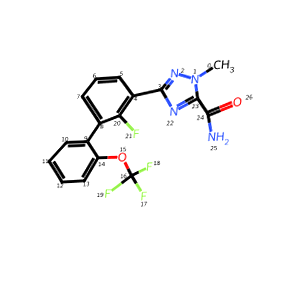 Cn1nc(-c2cccc(-c3ccccc3OC(F)(F)F)c2F)nc1C(N)=O